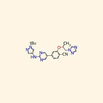 C[C@@H](Cn1cncn1)Oc1cc(-c2cnc(Nc3cnn(C(C)(C)C)c3)nc2)ccc1C#N